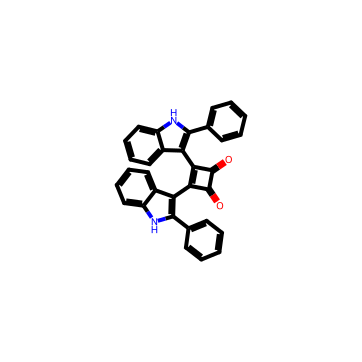 O=c1c(-c2c(-c3ccccc3)[nH]c3ccccc23)c(-c2c(-c3ccccc3)[nH]c3ccccc23)c1=O